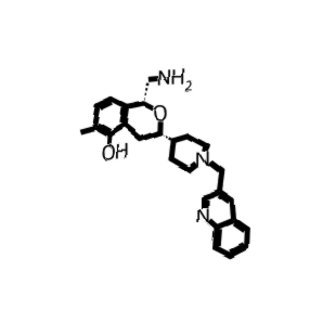 Cc1ccc2c(c1O)C[C@@H](C1CCN(Cc3cnc4ccccc4c3)CC1)O[C@H]2CN